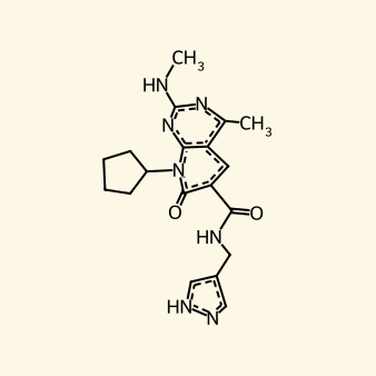 CNc1nc(C)c2cc(C(=O)NCc3cn[nH]c3)c(=O)n(C3CCCC3)c2n1